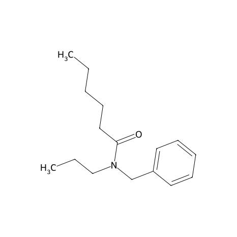 CCCCCC(=O)N(CCC)Cc1ccccc1